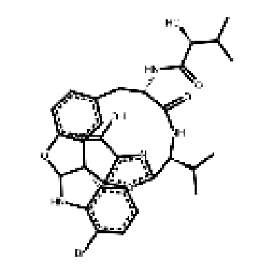 CC(C)[C@H](O)C(=O)N[C@H]1Cc2ccc3c(c2)[C@@]2(c4cccc(Br)c4NC2O3)c2oc(nc2C(=O)O)[C@H](C(C)C)NC1=O